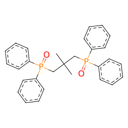 CC(C)(CP(=O)(c1ccccc1)c1ccccc1)CP(=O)(c1ccccc1)c1ccccc1